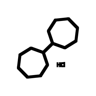 C1CCCC(C2CCCCCC2)CC1.Cl